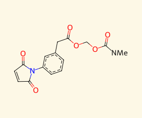 CNC(=O)OCOC(=O)Cc1cccc(N2C(=O)C=CC2=O)c1